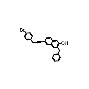 Oc1cc2ccc(C#CCc3ccc(Br)cc3)cc2cc1Cc1ccccc1